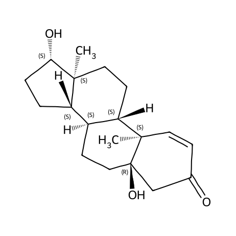 C[C@]12CC[C@H]3[C@@H](CC[C@@]4(O)CC(=O)C=C[C@]34C)[C@@H]1CC[C@@H]2O